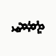 COc1cc(C(=O)N2CCC[C@H]2CO)ccc1Nc1ncc(Cl)c(-c2ccn(C(C)C)n2)n1